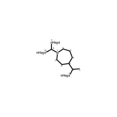 CCCCCCCC(C)C1CCCN(C(CCCCCCC)CCCCCCC)CC1